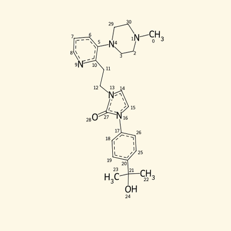 CN1CCN(c2cccnc2CCn2ccn(-c3ccc(C(C)(C)O)cc3)c2=O)CC1